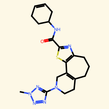 Cn1nnc(N2CCC3=C(C2)c2sc(C(=O)NC4CC=CCC4)nc2CCC3)n1